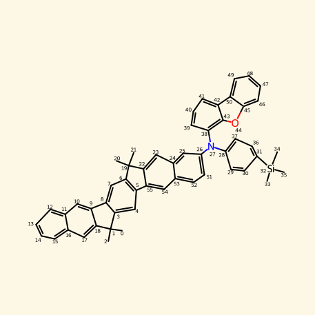 CC1(C)c2cc3c(cc2-c2cc4ccccc4cc21)C(C)(C)c1cc2cc(N(c4ccc([Si](C)(C)C)cc4)c4cccc5c4oc4ccccc45)ccc2cc1-3